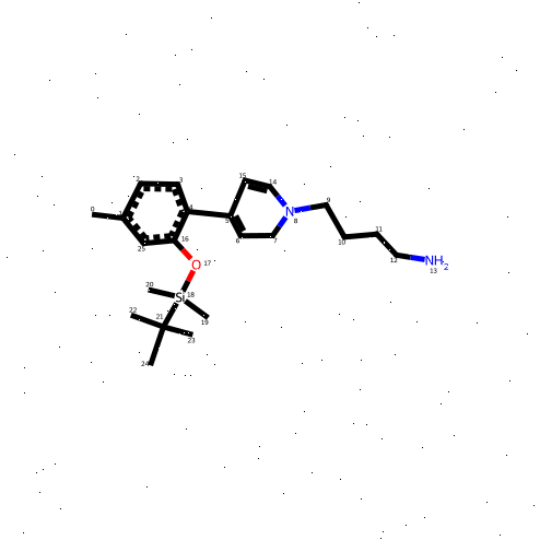 Cc1ccc(C2=CCN(CCCCN)C=C2)c(O[Si](C)(C)C(C)(C)C)c1